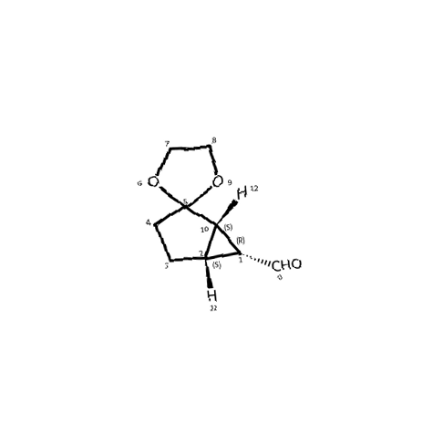 O=C[C@@H]1[C@@H]2CCC3(OCCO3)[C@H]12